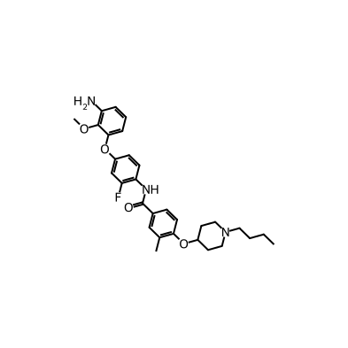 CCCCN1CCC(Oc2ccc(C(=O)Nc3ccc(Oc4cccc(N)c4OC)cc3F)cc2C)CC1